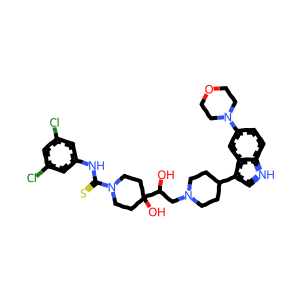 OC(CN1CCC(c2c[nH]c3ccc(N4CCOCC4)cc23)CC1)C1(O)CCN(C(=S)Nc2cc(Cl)cc(Cl)c2)CC1